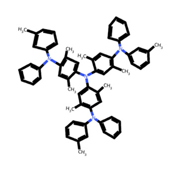 Cc1cccc(N(c2ccccc2)c2cc(C)c(N(c3cc(C)c(N(c4ccccc4)c4cccc(C)c4)cc3C)c3cc(C)c(N(c4ccccc4)c4cccc(C)c4)cc3C)cc2C)c1